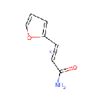 NC(=O)/C=C/c1ccco1